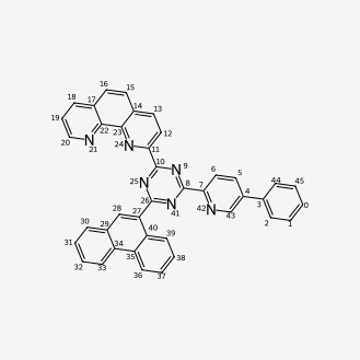 c1ccc(-c2ccc(-c3nc(-c4ccc5ccc6cccnc6c5n4)nc(-c4cc5ccccc5c5ccccc45)n3)nc2)cc1